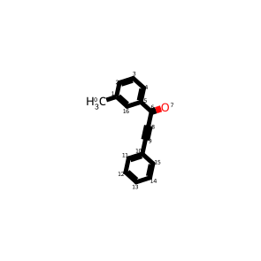 Cc1cccc(C(=O)C#Cc2ccccc2)c1